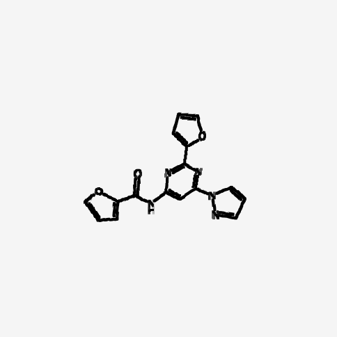 O=C(Nc1cc(-n2cccn2)nc(-c2ccco2)n1)c1ccco1